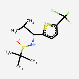 CC(C)[C@@H](N[S@@+]([O-])C(C)(C)C)c1ccc(C(F)(F)F)s1